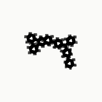 c1ccc(-c2ccc(N(c3ccccc3)c3ccc(-c4ccc5cc6c7ccccc7c7ccccc7c6cc5c4)cc3)cc2)cc1